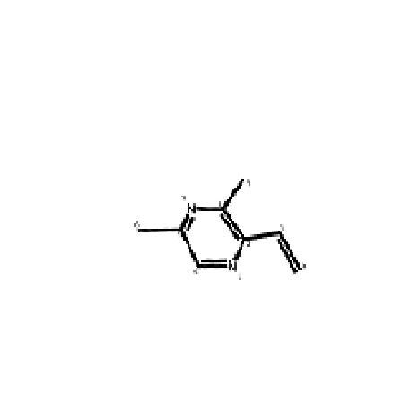 C=Cc1ncc(C)nc1C